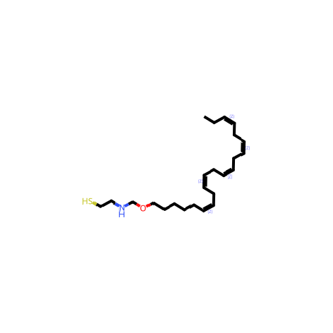 CC/C=C\C/C=C\C/C=C\C/C=C\C/C=C\CCCCCOCNCCS